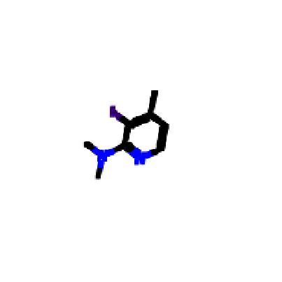 Cc1ccnc(N(C)C)c1I